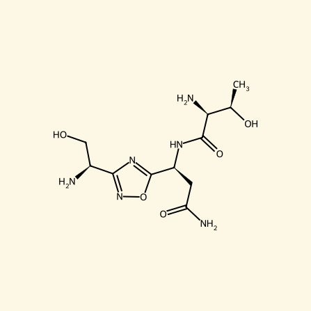 C[C@@H](O)[C@H](N)C(=O)N[C@@H](CC(N)=O)c1nc([C@@H](N)CO)no1